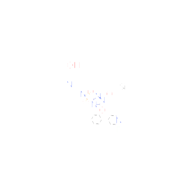 C[Si](C)(C)CCOCn1nc(S(=O)(=O)N2CC3(CCN(CCCO)C3)C2)nc1Oc1c(-c2ccnc(F)c2)ccc2c1CCC2